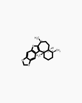 C[C@H]1CC[C@H]2[C@@H](C)CCC[C@]2(C)c2c1oc1cc3c(cc21)OCO3